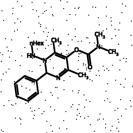 CCCCCCNN1C(C)=C(OC(=O)N(C)C)C(C)=NC1c1ccccc1